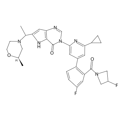 CC(c1cc2ncn(-c3cc(-c4ccc(F)cc4C(=O)N4CC(F)C4)cc(C4CC4)n3)c(=O)c2[nH]1)N1CCO[C@H](C)C1